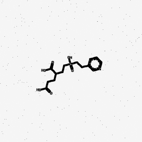 O=C(O)CCC(CCP(=O)(O)CCc1cccnc1)C(=O)O